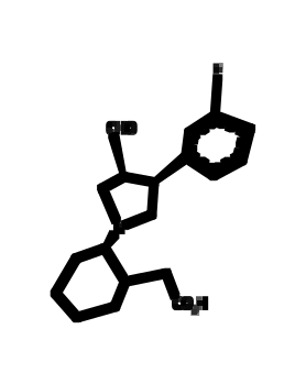 O=C[C@@H]1CN([C@@H]2CCCCC2CC(=O)O)C[C@@H]1c1cccc(F)c1